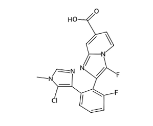 Cn1cnc(-c2cccc(F)c2-c2nc3cc(C(=O)O)ccn3c2F)c1Cl